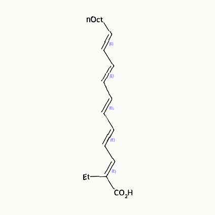 CCCCCCCC/C=C/C=C/C=C/C=C/C=C(\CC)C(=O)O